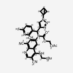 CC(=O)OCOC(=O)N(c1cc(C#N)c2ncc(C#N)c(NCC(C)(C)C)c2c1)C(c1cn(C23CC(C2)C3)nn1)c1ccc(F)nc1C